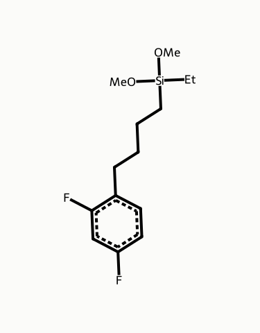 CC[Si](CCCCc1ccc(F)cc1F)(OC)OC